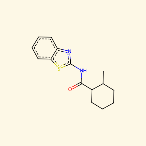 CC1CCCCC1C(=O)Nc1nc2ccccc2s1